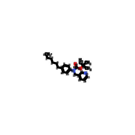 [CH2]CCCCCc1ccc(N(Cc2cccnc2)C(=O)OC(C)(C)C)cc1